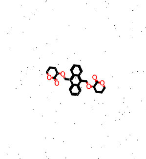 O=C1OCCCC1OCc1c2ccccc2c(COC2CCCOC2=O)c2ccccc12